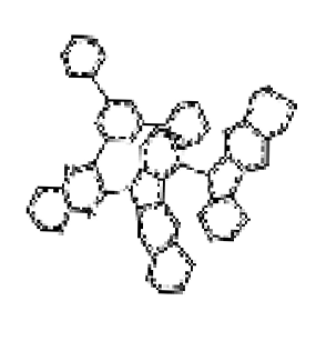 c1ccc(-c2cc(-c3ccccc3)cc(-c3nc4ccccc4nc3-n3c4cc5ccccc5cc4c4c(-n5c6ccccc6c6cc7ccccc7cc65)cccc43)c2)cc1